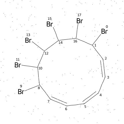 BrC1C=CC=CC=CC(Br)C(Br)C(Br)C(Br)C1Br